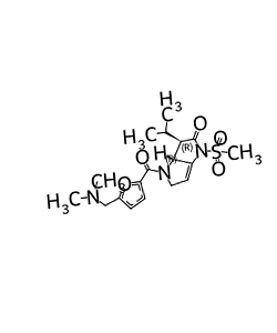 CC(C)[C@H]1C(=O)N(S(C)(=O)=O)C2=CCN(C(=O)c3ccc(CN(C)C)o3)[C@@H]21